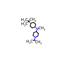 CC(C)N1CCC(N(C)[C@H]2CC[C@H](C(C)(C)C)CC2)CC1